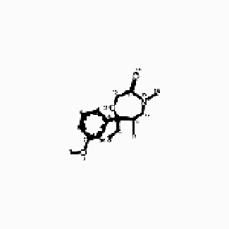 CCC1(c2cccc(OC)c2)OCC(=O)N(C)CC1C